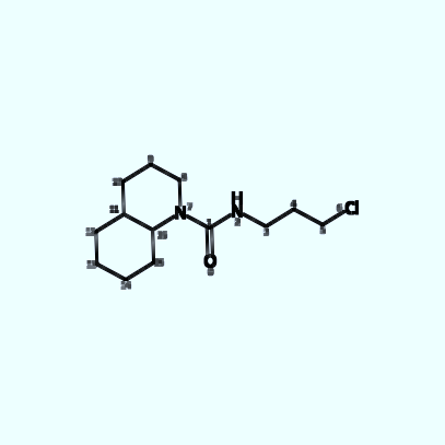 O=C(NCCCCl)N1CCCC2CCCCC21